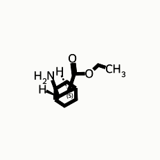 CCOC(=O)[C@H]1C2CCC(CC2)[C@@H]1N